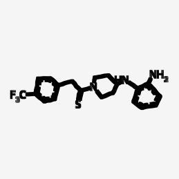 Nc1ccccc1NC1CCN(C(=S)Cc2ccc(C(F)(F)F)cc2)CC1